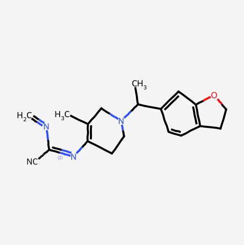 C=N/C(C#N)=N\C1=C(C)CN(C(C)c2ccc3c(c2)OCC3)CC1